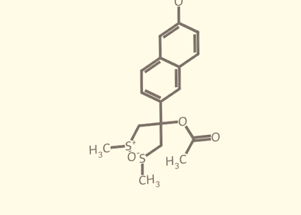 COc1ccc2cc(C(CSC)(C[S+](C)[O-])OC(C)=O)ccc2c1